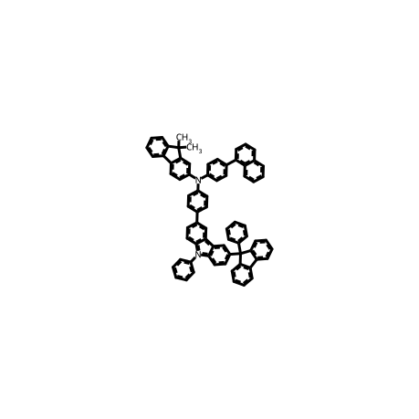 CC1(C)c2ccccc2-c2ccc(N(c3ccc(-c4ccc5c(c4)c4cc(C6(c7ccccc7)c7ccccc7-c7ccccc76)ccc4n5-c4ccccc4)cc3)c3ccc(-c4cccc5ccccc45)cc3)cc21